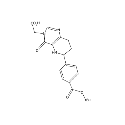 CC(C)(C)OC(=O)c1ccc(C2CCc3ncn(CC(=O)O)c(=O)c3N2)cc1